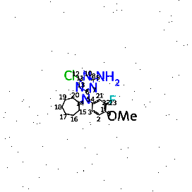 COc1ccc(N(c2nc(N)nc(Cl)n2)C2CCCCCC2)cc1F